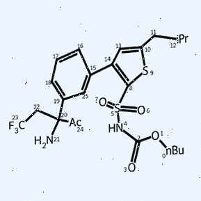 CCCCOC(=O)NS(=O)(=O)c1sc(CC(C)C)cc1-c1cccc(C(N)(CC(F)(F)F)C(C)=O)c1